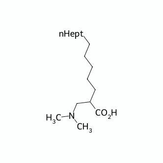 CCCCCCCCCCCCC(CN(C)C)C(=O)O